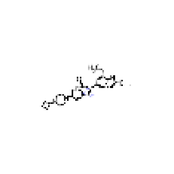 CCc1cc(C2=C\C(=O)N3C=C(N4CCN(C5CCC5)CC4)C=C\C3=C/C=C/2)cn2cc(C)nc12